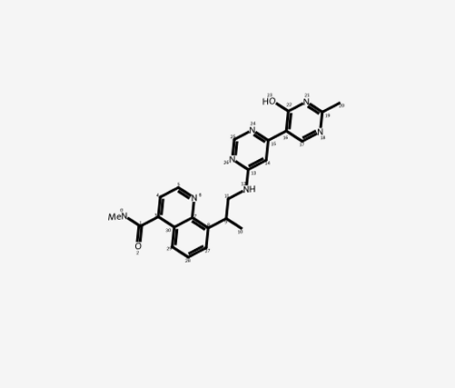 CNC(=O)c1ccnc2c(C(C)CNc3cc(-c4cnc(C)nc4O)ncn3)cccc12